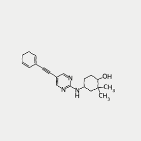 CC1(C)CC(Nc2ncc(C#CC3=CCCC=C3)cn2)CCC1O